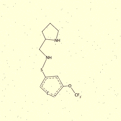 FC(F)(F)Oc1cccc(SNCC2CCCN2)c1